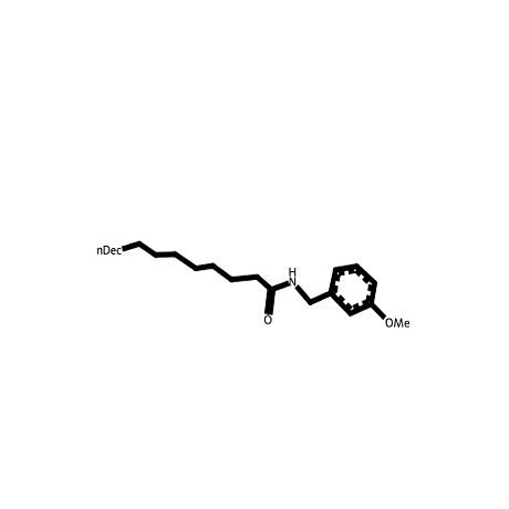 CCCCCCCCCCCCCCCCCC(=O)NCc1cccc(OC)c1